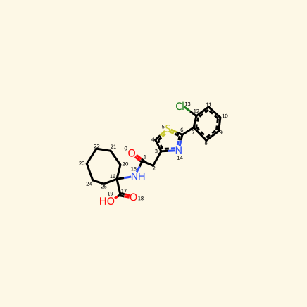 O=C(Cc1csc(-c2ccccc2Cl)n1)NC1(C(=O)O)CCCCCC1